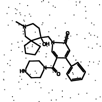 CN1CCC(O)(Cn2cc(C(=O)N3CCNCC3)c(-c3ccccc3)cc2=O)C2(CCCC2)C1